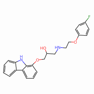 OC(CNCCOc1ccc(F)cc1)COc1cccc2c1[nH]c1ccccc12